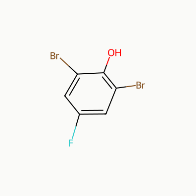 Oc1c(Br)cc(F)cc1Br